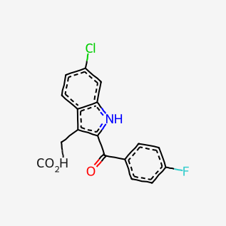 O=C(O)Cc1c(C(=O)c2ccc(F)cc2)[nH]c2cc(Cl)ccc12